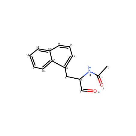 CC(=O)NC([C]=O)Cc1cccc2ccccc12